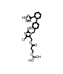 CCCCc1nc(Cl)c(COC(=O)CCON(O)O)n1Cc1ccc(-c2ccccc2-c2nn[nH]n2)cc1